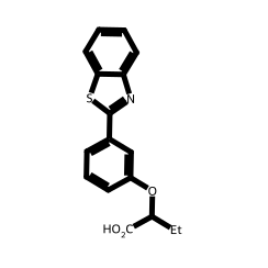 CCC(Oc1cccc(-c2nc3ccccc3s2)c1)C(=O)O